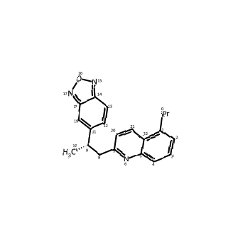 CC(C)c1cccc2nc(C[C@H](C)c3ccc4nonc4c3)ccc12